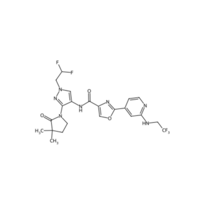 CC1(C)CCN(c2nn(CC(F)F)cc2NC(=O)c2coc(-c3ccnc(NCC(F)(F)F)c3)n2)C1=O